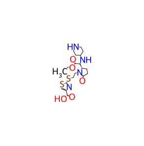 CCOC(=O)C(NC1CCNCC1)[C@H]1CCC(=O)N1CCSc1nc(C(=O)O)cs1